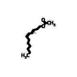 CCCCCC/C=C\C=C\CCOC(C)=O